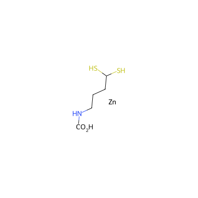 O=C(O)NCCCC(S)S.[Zn]